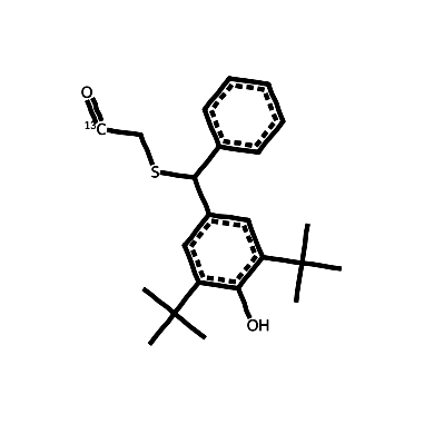 CC(C)(C)c1cc(C(SC[13CH]=O)c2ccccc2)cc(C(C)(C)C)c1O